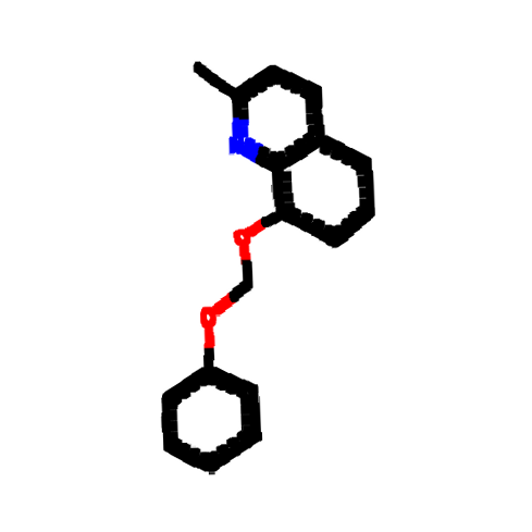 Cc1ccc2cccc(OCOc3cc[c]cc3)c2n1